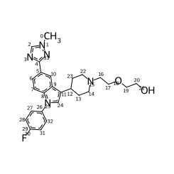 Cn1cnc(-c2ccc3c(c2)c(C2CCN(CCOCCO)CC2)cn3-c2ccc(F)cc2)n1